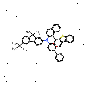 CC(C)(C)c1ccc2c(c1)-c1ccc(N(c3ccc(-c4ccccc4)cc3)c3ccc4ccccc4c3-c3cccc4c3sc3ccccc34)cc1C2(C)C